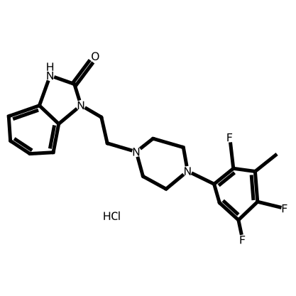 Cc1c(F)c(F)cc(N2CCN(CCn3c(=O)[nH]c4ccccc43)CC2)c1F.Cl